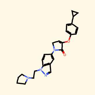 O=C1C(Oc2ccc(C3CC3)cc2)=CCN1c1ccc2c(cnn2CCN2CCCC2)c1